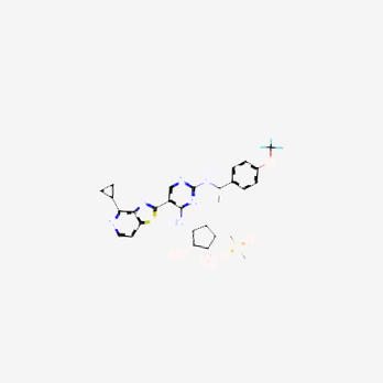 C[C@@H](Nc1ncc(-c2nc3c(C4CC4)nccc3s2)c(N[C@@H]2C[C@H](CS(C)(=O)=O)[C@@H](O)[C@H]2O)n1)c1ccc(OC(F)(F)F)cc1